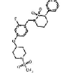 CS(=O)(=O)N1CCC(Oc2ccc(CN3CCC[C@H](c4ccccc4)S3(=O)=O)c(F)c2)CC1